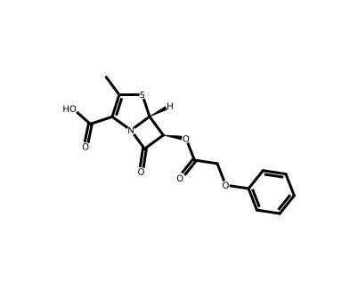 CC1=C(C(=O)O)N2C(=O)[C@H](OC(=O)COc3ccccc3)[C@H]2S1